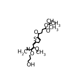 C=N/C(OCCCO)=C(\C=C1/CC=C(C(=O)CCC(=O)OC(C)(C)C)S1)OC